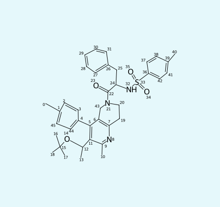 Cc1ccc(-c2c3c(nc(C)c2C(C)OC(C)(C)C)CCN(C(=O)C(Cc2ccccc2)NS(=O)(=O)c2ccc(C)cc2)C3)cc1